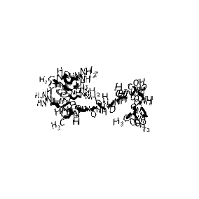 CN[C@@H](CC(C)C)C(=O)N1CCC[C@H]1C(=O)N[C@@H](CO)C(=O)N[C@H](C(=O)NCC(=O)NCC(=O)NCC(=O)NCC(=O)NCC(=O)NC(CC(C)C)C(=O)N[C@@H](CCCNC(=N)N)C(=O)NC(CCCNC(=N)N)C(=O)N[C@@H](CC(C)C)C(=O)NC(CCCNC(=N)N)C(=O)N[C@@H](C)C=O)[C@@H](C)O